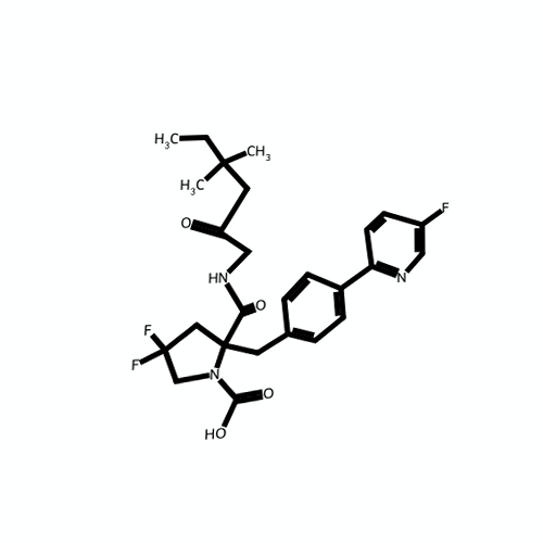 CCC(C)(C)CC(=O)CNC(=O)C1(Cc2ccc(-c3ccc(F)cn3)cc2)CC(F)(F)CN1C(=O)O